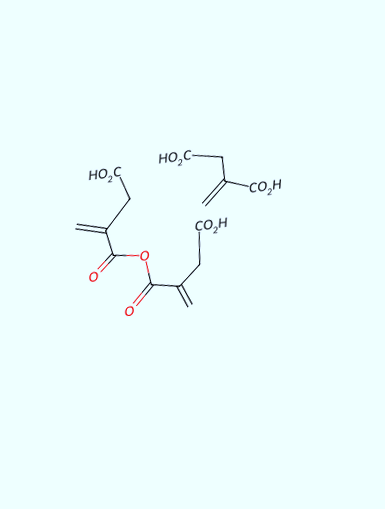 C=C(CC(=O)O)C(=O)O.C=C(CC(=O)O)C(=O)OC(=O)C(=C)CC(=O)O